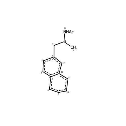 CC(=O)NC(C)Cc1ccc2ccccc2c1